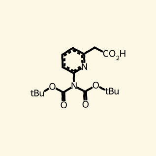 CC(C)(C)OC(=O)N(C(=O)OC(C)(C)C)c1cccc(CC(=O)O)n1